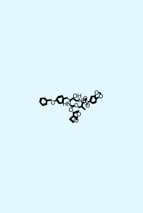 CC(C)C(NC[C@@H](O)[C@H](Cc1ccc(OCc2ccccc2)cc1)NC(=O)Oc1coc2occc12)S(=O)(=O)c1ccc2c(c1)OCO2